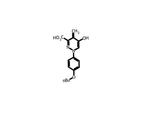 C=C1C(O)=CN(c2ccc(OCCCC)cc2)N=C1C(=O)O